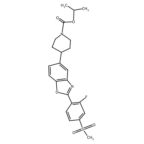 CC(C)OC(=O)N1CCC(c2ccc3oc(-c4ccc(S(C)(=O)=O)cc4F)nc3c2)CC1